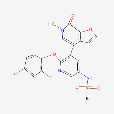 CCS(=O)(=O)Nc1cnc(Oc2ccc(F)cc2F)c(-c2cn(C)c(=O)c3occc23)c1